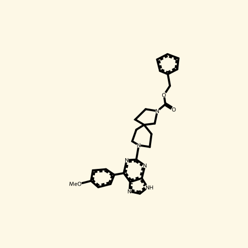 COc1ccc(-c2nc(N3CCC4(CCN(C(=O)OCc5ccccc5)C4)CC3)nc3[nH]cnc23)cc1